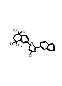 CC1(C)CCC(C)(C)c2cc(-c3nc(Cl)nc(-c4ccc5ccccc5c4)n3)ccc21